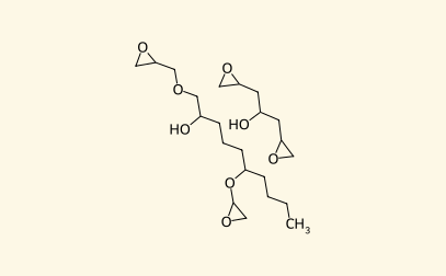 CCCCC(CCCC(O)COCC1CO1)OC1CO1.OC(CC1CO1)CC1CO1